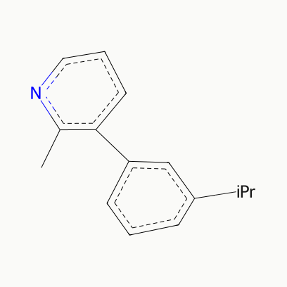 Cc1ncccc1-c1cccc(C(C)C)c1